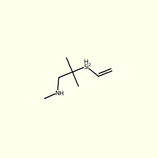 C=C[SiH2]C(C)(C)CNC